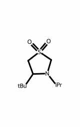 CC(C)N1CS(=O)(=O)CC1C(C)(C)C